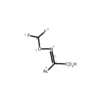 CC(=O)/C(=N\OC(F)F)C(=O)O